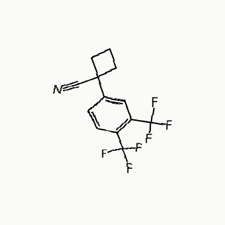 N#CC1(c2ccc(C(F)(F)F)c(C(F)(F)F)c2)CCC1